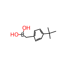 CC(C)(C)c1ccc(CB(O)O)cc1